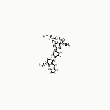 C[C@H](Oc1cc(C(N)=O)nc(-c2ccc(Oc3ccc(C(F)(F)F)cc3CN3CCCC3)cc2)n1)C(=O)O